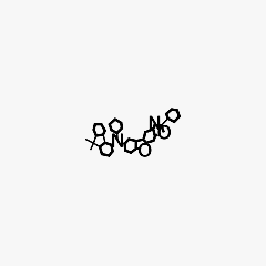 CC1(C)c2ccccc2-c2c(N(c3ccccc3)c3ccc4oc5cc6oc(-c7ccccc7)nc6cc5c4c3)cccc21